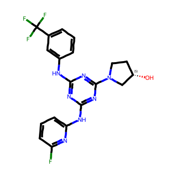 O[C@H]1CCN(c2nc(Nc3cccc(C(F)(F)F)c3)nc(Nc3cccc(F)n3)n2)C1